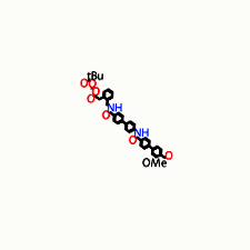 COC(=O)c1ccc(-c2ccc(C(=O)Nc3ccc(-c4ccc(C(=O)NCc5ccccc5CC(=O)OCOC(=O)C(C)(C)C)cc4)cc3)cc2)cc1